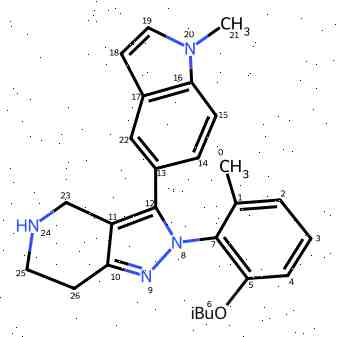 Cc1cccc(OCC(C)C)c1-n1nc2c(c1-c1ccc3c(ccn3C)c1)CNCC2